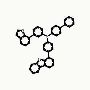 c1ccc(-c2ccc(N(c3ccc(-c4cccc5c4oc4ccccc45)cc3)c3cccc(-c4cccc5ccsc45)c3)cc2)cc1